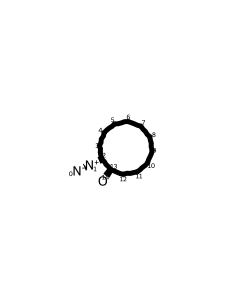 [N-]=[N+]=C1CCCCCCCCCCC1=O